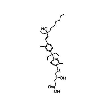 CCCCCCCC(O)(/C=C/c1ccc(C(CC)(CC)c2ccc(OC[C@@H](O)CCC(=O)O)c(C)c2)cc1C)CC